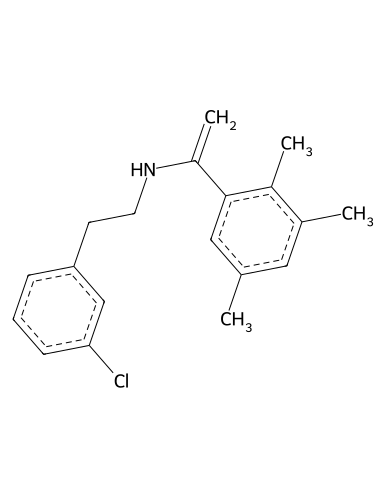 C=C(NCCc1cccc(Cl)c1)c1cc(C)cc(C)c1C